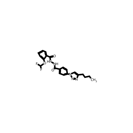 CCCCc1cn(-c2ccc(C(=O)NNC(=O)c3ccccc3OC(F)F)cc2)nn1